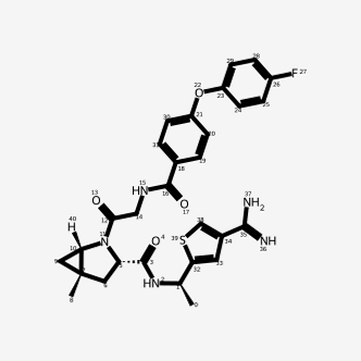 C[C@@H](NC(=O)[C@@H]1C[C@]2(C)C[C@@H]2N1C(=O)CNC(=O)c1ccc(Oc2ccc(F)cc2)cc1)c1cc(C(=N)N)cs1